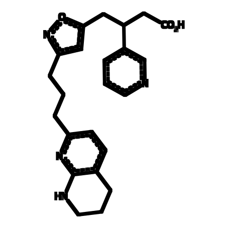 O=C(O)CC(Cc1cc(CCCc2ccc3c(n2)NCCC3)no1)c1cccnc1